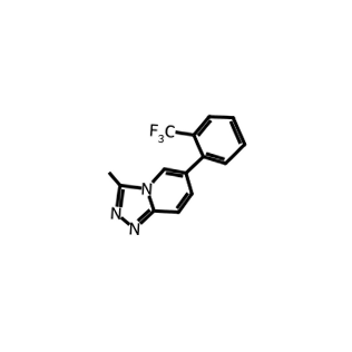 Cc1nnc2ccc(-c3ccccc3C(F)(F)F)cn12